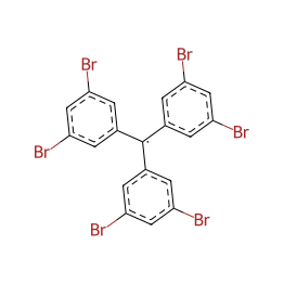 Brc1cc(Br)cc([C](c2cc(Br)cc(Br)c2)c2cc(Br)cc(Br)c2)c1